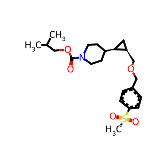 CC(C)COC(=O)N1CCC([C@H]2C[C@H]2COCc2ccc(S(C)(=O)=O)cc2)CC1